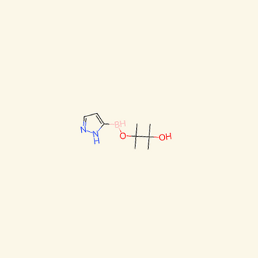 CC(C)(O)C(C)(C)OBc1ccn[nH]1